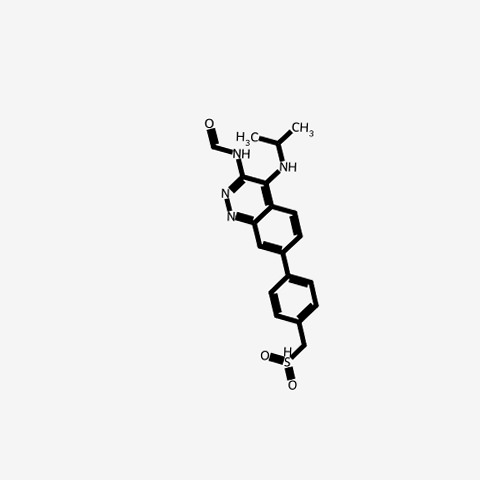 CC(C)Nc1c(NC=O)nnc2cc(-c3ccc(C[SH](=O)=O)cc3)ccc12